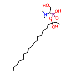 CCCCCCCCCCCCCCCCC(O)(CC)OP(=O)(O)C(CO)N(C)C